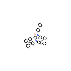 c1ccc(-c2ccc(-c3nc4cc(N(c5ccc6c(c5)C(c5ccccc5)(c5ccccc5)c5ccccc5-6)c5ccc6c(c5)C(c5ccccc5)(c5ccccc5)c5ccccc5-6)ccc4o3)cc2)cc1